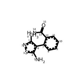 Cc1nsc(N)c1-c1ccccc1C(N)=O